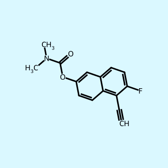 C#Cc1c(F)ccc2cc(OC(=O)N(C)C)ccc12